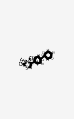 CC(=O)[N+]1(C)C(=O)SC=C1c1ccc(-c2ccccc2)cc1